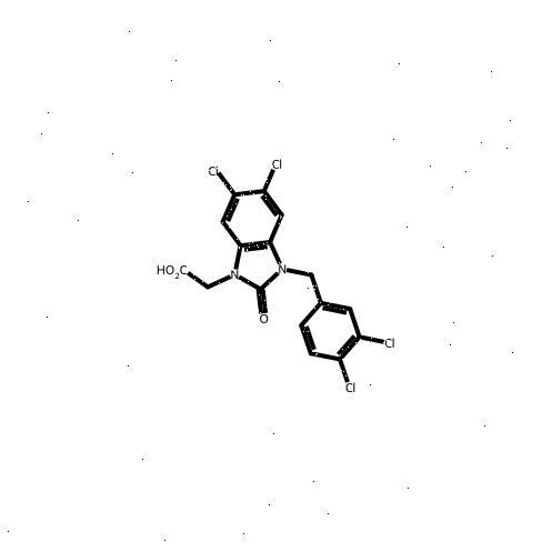 O=C(O)Cn1c(=O)n(Cc2ccc(Cl)c(Cl)c2)c2cc(Cl)c(Cl)cc21